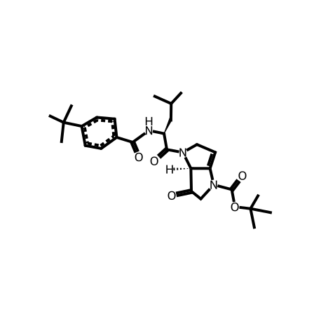 CC(C)C[C@H](NC(=O)c1ccc(C(C)(C)C)cc1)C(=O)N1CC=C2[C@H]1C(=O)CN2C(=O)OC(C)(C)C